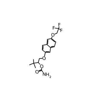 CC(C)(C)C(COc1ccc2cc(OCC(F)(F)F)ccc2c1)OC(N)=O